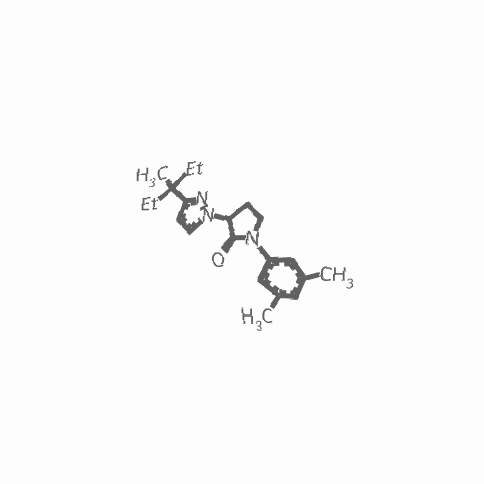 CCC(C)(CC)c1ccn(C2CCN(c3cc(C)cc(C)c3)C2=O)n1